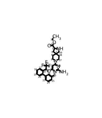 CCOC(=O)C1CC2(CCN(c3cc(O[C@H](c4ccccc4-c4cccc(F)c4)C(F)(F)F)nc(N)n3)CC2)CN1